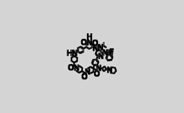 CC(C)n1cnc2cc(-c3ccc4c(c3)N(C3CC(N5CCCCC5)C3)C(=O)C43CCN(C(=O)C4CCN(C(=O)C5CCC(Nc6ccc(C7CCC(=O)NC7=O)cc6)CC5)CC4)CC3)nc(Nc3ccccc3F)c21